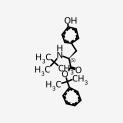 CC(C)(C)N[C@@H](Cc1ccc(O)cc1)C(=O)OC(C)(C)c1ccccc1